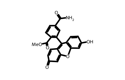 COC(=O)c1ccc(C(N)=O)cc1-c1c2ccc(=O)cc-2oc2cc(O)ccc12